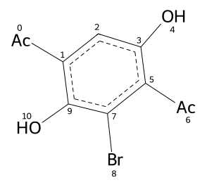 CC(=O)c1cc(O)c(C(C)=O)c(Br)c1O